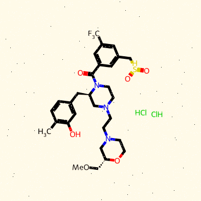 COC[C@@H]1CN(CCN2CCN(C(=O)c3cc(C[SH](=O)=O)cc(C(F)(F)F)c3)[C@H](Cc3ccc(C)c(O)c3)C2)CCO1.Cl.Cl